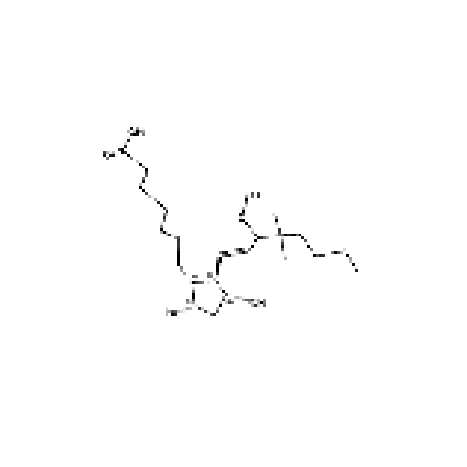 CCCCC(C)(C)C(C=C[C@@H]1[C@@H](CCCCCCC(=O)O)[C@@H](O)C[C@H]1O)OO